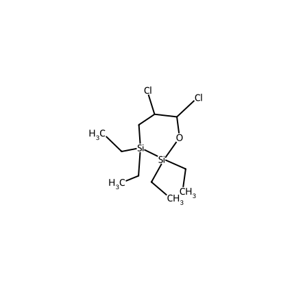 CC[Si]1(CC)CC(Cl)C(Cl)O[Si]1(CC)CC